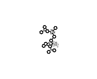 CC1(C)c2cc(-c3cccc(-c4nc(-c5ccccc5)nc(-c5ccc6c(c5)c5ccccc5n6-c5ccccc5)n4)c3)ccc2-n2c3ccc4ccccc4c3c3cc(N(c4ccccc4)c4ccccc4)cc1c32